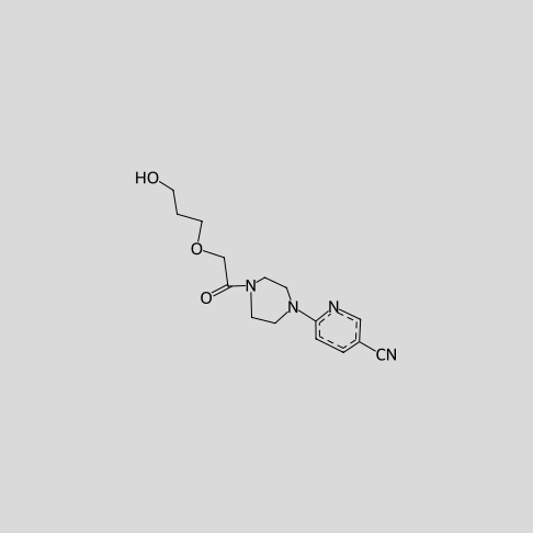 N#Cc1ccc(N2CCN(C(=O)COCCCO)CC2)nc1